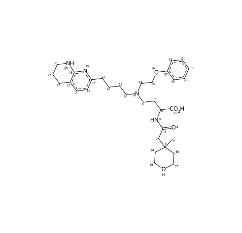 CC1(CC(=O)NC(CCN(CCCCc2ccc3c(n2)NCCC3)CCOc2ccccc2)C(=O)O)CCOCC1